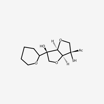 CC(=O)[C@]1(S)CO[C@H]2[C@@H]1OC[C@]2(O)C1CCCCO1